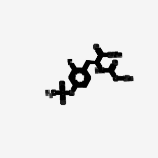 COC(=O)[C@H](Cc1ccc(OS(=O)(=O)C(F)(F)F)cc1F)NC(=O)OC(C)(C)C